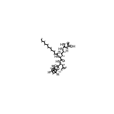 CCCCCCCCCCC(=O)N[C@@H](CCCNC(=N)N[N+](=O)O)C(=O)N[C@@H](CC(C)C)B1O[C@@H]2C[C@@H]3C[C@@H](C3(C)C)[C@]2(C)O1